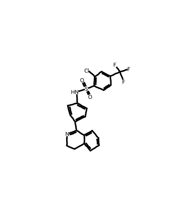 O=S(=O)(Nc1ccc(C2=NCCc3ccccc32)cc1)c1ccc(C(F)(F)F)cc1Cl